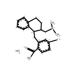 CN(C)CC1CCc2ccccc2C1Cc1cc(F)ccc1C(=O)O.Cl